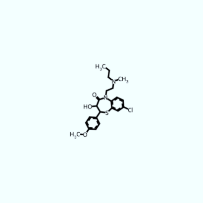 CCCN(C)CCN1C(=O)C(O)C(c2ccc(OC)cc2)Sc2cc(Cl)ccc21